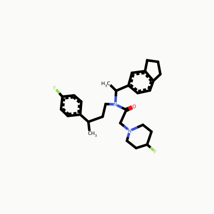 CC(CCN(C(=O)CN1CCC(F)CC1)C(C)c1ccc2c(c1)CCC2)c1ccc(F)cc1